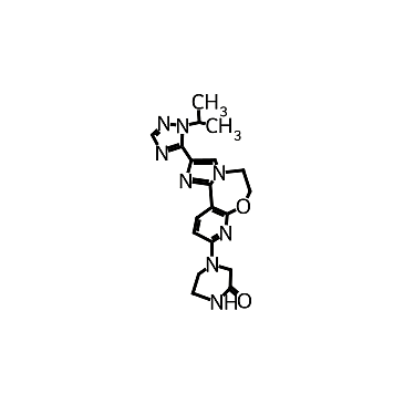 CC(C)n1ncnc1-c1cn2c(n1)-c1ccc(N3CCNC(=O)C3)nc1OCC2